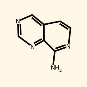 Nc1nccc2cncnc12